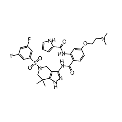 CN(C)CCOc1ccc(C(=O)Nc2n[nH]c3c2CN(S(=O)(=O)c2cc(F)cc(F)c2)CC3(C)C)c(NC(=O)c2ccc[nH]2)c1